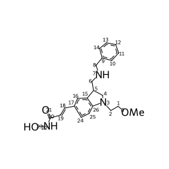 COCCN1CC(CNCc2ccccc2)c2cc(/C=C/C(=O)NO)ccc21